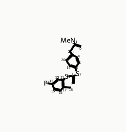 C=C(Cc1ccc(SC(=C)Sc2cc(F)ccc2C)cc1)NC